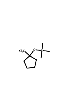 C[Si](C)(C)OC1(C(Cl)(Cl)Cl)CCCC1